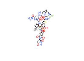 CC(C)(C)c1ccc(C[C@H](NC(=O)[C@H](CCC(N)=O)NC(=O)[C@@H]2CC[C@@H]3CCN(CC(F)F)C[C@H](NC(=O)c4cc5cc(C(F)(F)P(=O)(O)O)ccc5s4)C(=O)N32)C(=O)N2CCC3(CC2)CCN(c2ccc4c(c2)C(=O)N(C2CCC(=O)NC2=O)C4=O)CC3)cc1